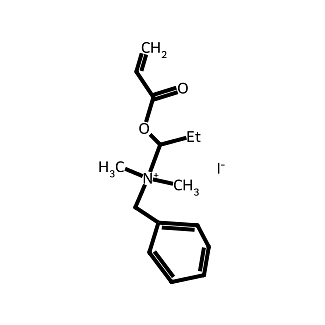 C=CC(=O)OC(CC)[N+](C)(C)Cc1ccccc1.[I-]